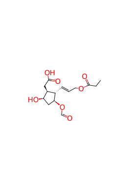 CCC(=O)OCC=C[C@H]1[C@H](CC(=O)O)[C@H](O)C[C@@H]1OC=O